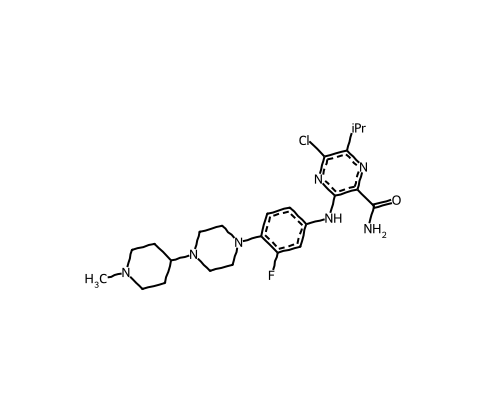 CC(C)c1nc(C(N)=O)c(Nc2ccc(N3CCN(C4CCN(C)CC4)CC3)c(F)c2)nc1Cl